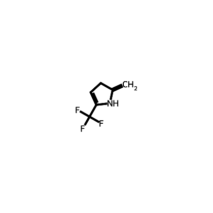 C=C1CC=C(C(F)(F)F)N1